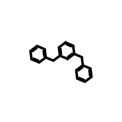 [c]1cc(Cc2ccccc2)[c]c(Cc2ccccc2)c1